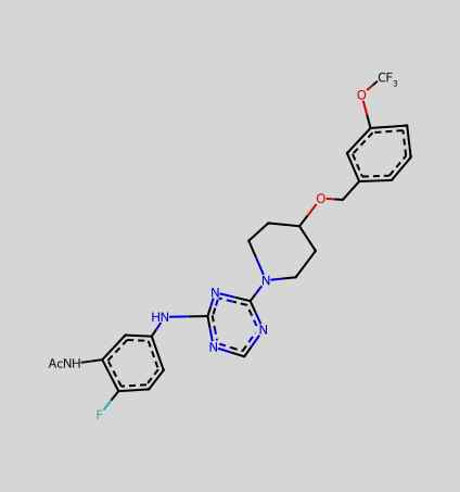 CC(=O)Nc1cc(Nc2ncnc(N3CCC(OCc4cccc(OC(F)(F)F)c4)CC3)n2)ccc1F